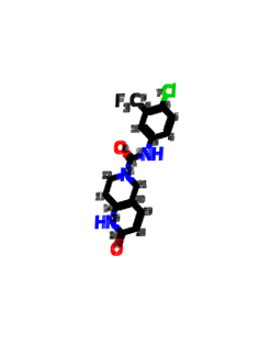 O=C(Nc1ccc(Cl)c(C(F)(F)F)c1)N1CCc2[nH]c(=O)ccc2C1